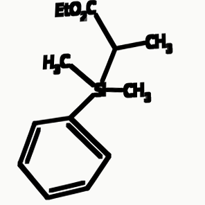 CCOC(=O)C(C)[Si](C)(C)c1ccccc1